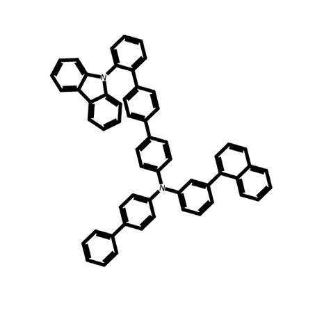 c1ccc(-c2ccc(N(c3ccc(-c4ccc(-c5ccccc5-n5c6ccccc6c6ccccc65)cc4)cc3)c3cccc(-c4cccc5ccccc45)c3)cc2)cc1